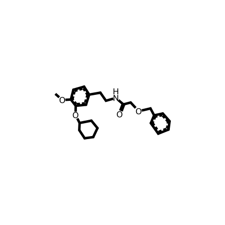 COc1ccc(CCNC(=O)COCc2ccccc2)cc1OC1CCCCC1